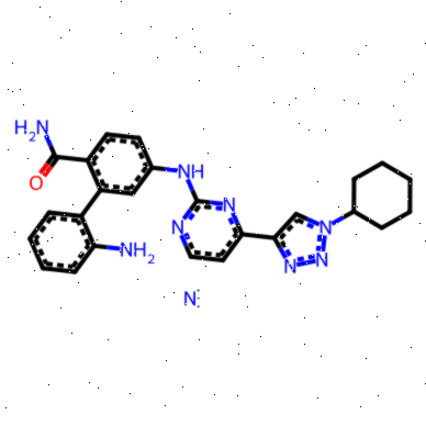 NC(=O)c1ccc(Nc2nccc(-c3cn(C4CCCCC4)nn3)n2)cc1-c1ccccc1N.[N]